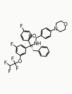 OC(N[C@](Cc1ccccc1)(c1ccc(F)cc1)c1cc(F)cc(OC(F)(F)C(F)F)c1)c1ccc(N2CCOCC2)cc1